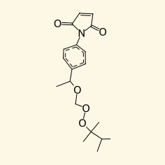 CC(OCOOC(C)(C)C(C)C)c1ccc(N2C(=O)C=CC2=O)cc1